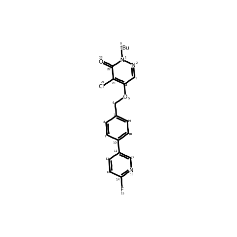 CC(C)(C)n1ncc(OCc2ccc(-c3ccc(F)nc3)cc2)c(Cl)c1=O